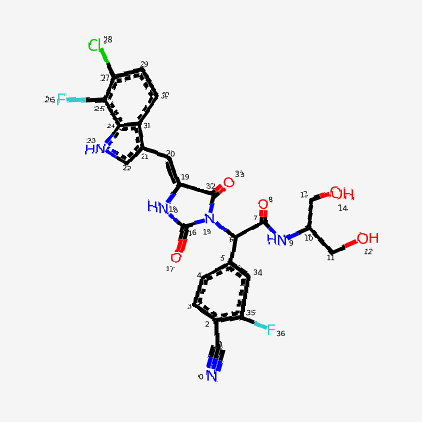 N#Cc1ccc(C(C(=O)NC(CO)CO)N2C(=O)NC(=Cc3c[nH]c4c(F)c(Cl)ccc34)C2=O)cc1F